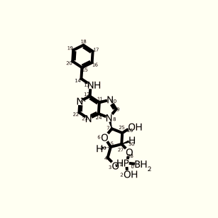 B[PH]1(O)OC[C@H]2O[C@@H](n3cnc4c(NCc5ccccc5)ncnc43)C(O)[C@@H]2O1